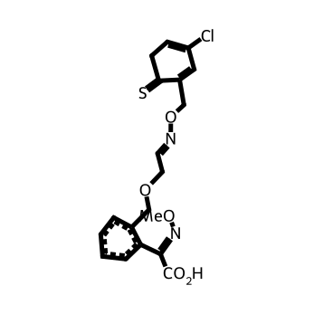 CO/N=C(/C(=O)O)c1ccccc1COC/C=N/OCC1=CC(Cl)=CCC1=S